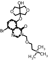 C[Si](C)(C)CCOCn1cnc2c(Br)ccc(OC34COCC3(O)COC4)c2c1=O